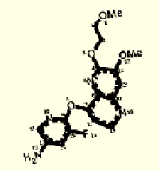 COCCOc1nc2c(Oc3ncc(N)cc3F)ccnc2cc1OC